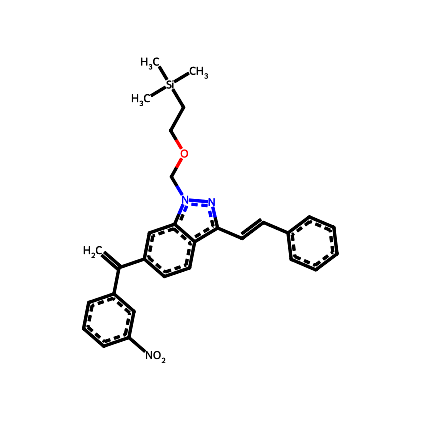 C=C(c1cccc([N+](=O)[O-])c1)c1ccc2c(C=Cc3ccccc3)nn(COCC[Si](C)(C)C)c2c1